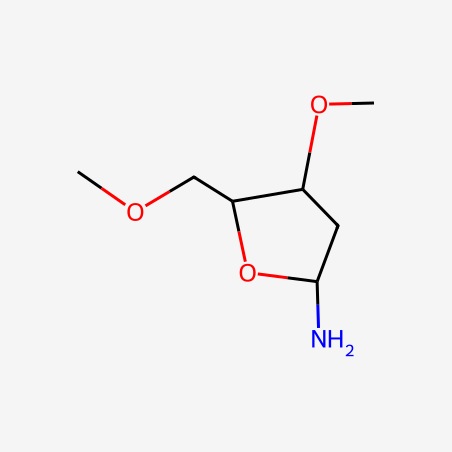 COCC1OC(N)CC1OC